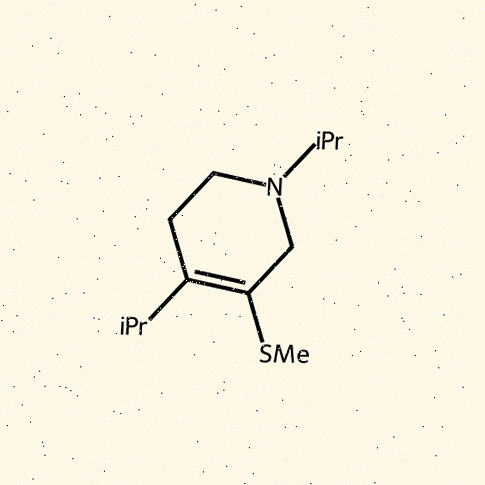 CSC1=C(C(C)C)CCN(C(C)C)C1